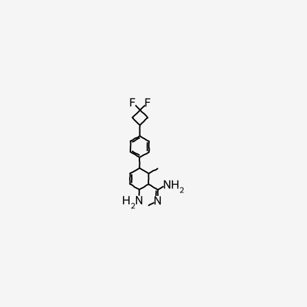 C/N=C(/N)C1C(N)C=CC(c2ccc(C3CC(F)(F)C3)cc2)C1C